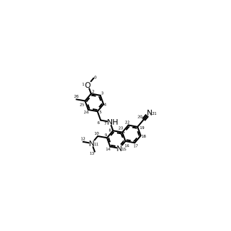 COc1ccc(CNc2c(CN(C)C)cnc3ccc(C#N)cc23)cc1C